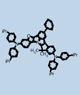 CC(C)c1ccc(N(c2ccc(C(C)C)cc2)c2ccc3c(c2)C(C)(C)c2c-3c3cc(-c4ccccc4)cc4c5oc6cc(N(c7ccc(C(C)C)cc7)c7ccc(C(C)C)cc7)ccc6c5n2c34)cc1